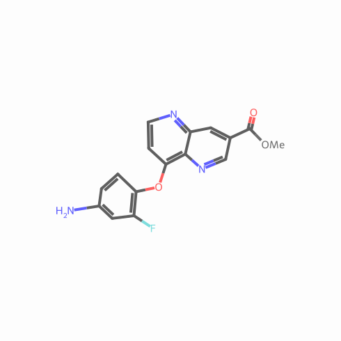 COC(=O)c1cnc2c(Oc3ccc(N)cc3F)ccnc2c1